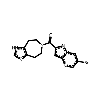 O=C(c1cc2ncc(Br)cn2n1)N1CCc2nc[nH]c2CC1